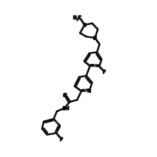 CN1CCN(Cc2ccc(-c3ccc(CC(=O)NCc4cccc(F)c4)nc3)c(F)c2)CC1